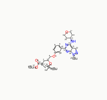 CB(CC(COc1cccc(-c2nc(NC3CCOCC3)c3cnn(C(C)(C)C)c3n2)c1)O[Si](C)(C)C(C)(C)C)C(=O)OC(C)(C)C